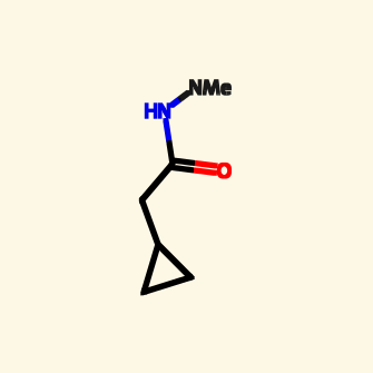 CNNC(=O)CC1CC1